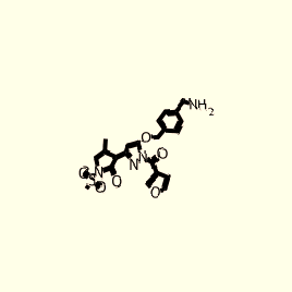 CC1CN(S(C)(=O)=O)C(=O)C1c1cc(OCc2ccc(CN)cc2)n(C(=O)c2ccoc2)n1